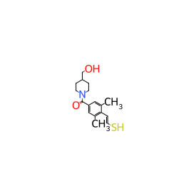 Cc1cc(C(=O)N2CCC(CO)CC2)cc(C)c1/C=C/S